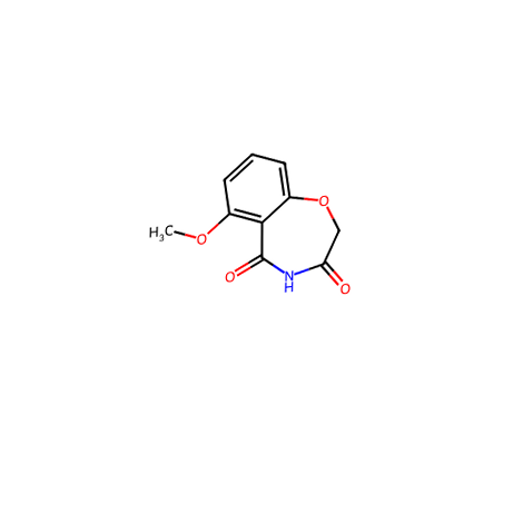 COc1cccc2c1C(=O)NC(=O)CO2